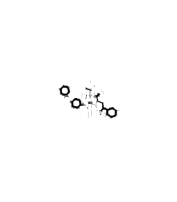 N#CCCNC(=O)C(Cc1csc2ccccc12)NC(=O)Nc1ccc(Oc2ccccc2)cc1